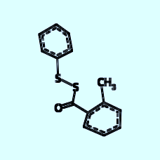 Cc1ccccc1C(=O)SSc1ccccc1